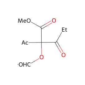 CCC(=O)C(O[C]=O)(C(C)=O)C(=O)OC